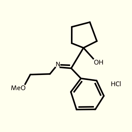 COCCN=C(c1ccccc1)C1(O)CCCC1.Cl